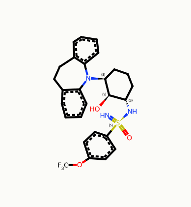 N=[S@@](=O)(N[C@H]1CCC[C@H](N2c3ccccc3CCc3ccccc32)[C@@H]1O)c1ccc(OC(F)(F)F)cc1